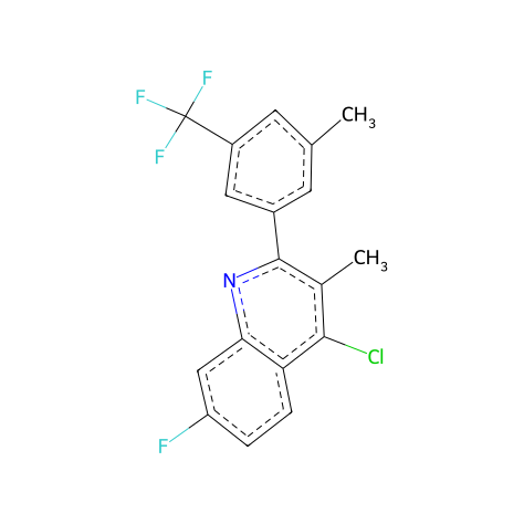 Cc1cc(-c2nc3cc(F)ccc3c(Cl)c2C)cc(C(F)(F)F)c1